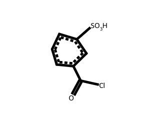 O=C(Cl)c1cccc(S(=O)(=O)O)c1